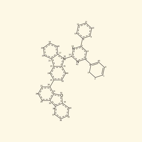 C1=CCCC(c2cc(-c3ccccc3)nc(-n3c4ccccc4c4cc(-c5cccc6c5oc5ccccc56)ccc43)n2)=C1